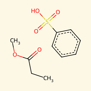 CCC(=O)OC.O=S(=O)(O)c1ccccc1